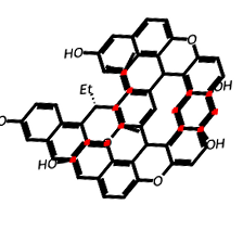 CC[C@H](c1cc(C2c3c(ccc4cc(O)ccc34)Oc3ccc4cc(O)ccc4c32)cc(C2c3c(ccc4cc(O)ccc34)Oc3ccc4cc(O)ccc4c32)c1)c1c(O/C(C)=C/C=C(C)C)ccc2cc(O)ccc12